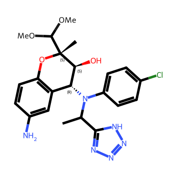 COC(OC)[C@@]1(C)Oc2ccc(N)cc2[C@@H](N(c2ccc(Cl)cc2)C(C)c2nnn[nH]2)[C@@H]1O